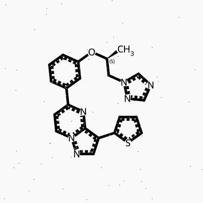 C[C@@H](Cn1cncn1)Oc1cccc(-c2ccn3ncc(-c4cccs4)c3n2)c1